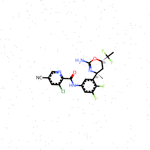 CC(F)(F)[C@@H]1C[C@@](C)(c2cc(NC(=O)c3ncc(C#N)cc3Cl)cc(F)c2F)N=C(N)O1